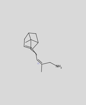 CC1=CCC2CC1C2(C)CC/C=C(/C)CN